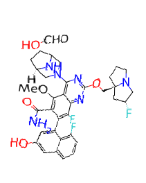 COc1c(C(N)=O)c(-c2cc(O)cc3cccc(F)c23)c(F)c2nc(OC[C@@]34CCCN3C[C@H](F)C4)nc(N3CC4CC[C@H](C3)N4)c12.O=CO